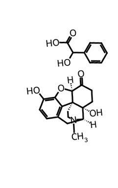 CN1CC[C@]23c4c5ccc(O)c4O[C@H]2C(=O)CC[C@@]3(O)[C@H]1C5.O=C(O)C(O)c1ccccc1